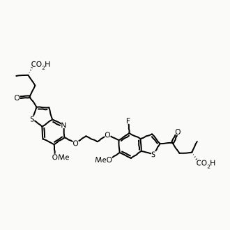 COc1cc2sc(C(=O)C[C@H](C)C(=O)O)cc2nc1OCCOc1c(OC)cc2sc(C(=O)C[C@H](C)C(=O)O)cc2c1F